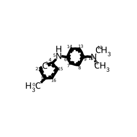 Cc1ccc(Nc2ccc(N(C)C)cc2)cc1